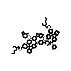 C=C(/C=C\C(=C/C)N(c1ccccc1)c1ccc2c(c1)C(c1ccc(OCC(CC)CCCC)cc1)(c1ccc(Oc3ccc4c(c3)CC4)cc1)c1ccccc1-2)c1ccc(N(C2=CCCC=C2)c2ccc3c(c2)C(C2=CCC(OC4C=CC5=C(CC5)C4C)C=C2)(C2=CC=C(OCC(CC)CCCC)C=CC2)c2ccccc2-3)cc1